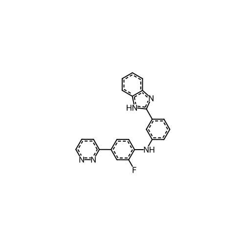 Fc1cc(-c2cccnn2)ccc1Nc1cccc(-c2nc3ccccc3[nH]2)c1